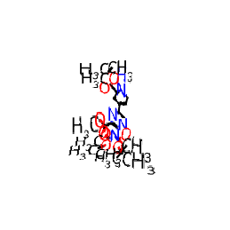 COC(=O)c1nc(C2=CCNC(C(=O)OC(C)(C)C)C2)cnc1N(C(=O)OC(C)(C)C)C(=O)OC(C)(C)C